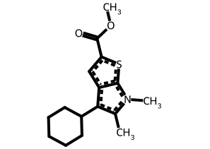 COC(=O)c1cc2c(C3CCCCC3)c(C)n(C)c2s1